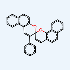 C1=CC2(Oc3ccc4ccccc4c3C=C2c2ccccc2)Oc2c1ccc1ccccc21